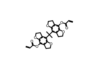 C=CC(=O)Oc1c2c(c(C(C)(C)c3c4c(c(OC(=O)C=C)c5c3OCC5)OCC4)c3c1OCC3)OCC2